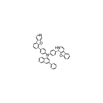 C1=Cc2c(oc3ccccc23)C(c2ccc(N(c3ccc(-c4cccc5c4oc4cnccc45)cc3)c3cc(-c4ccccc4)cc4ccccc34)cc2)N1